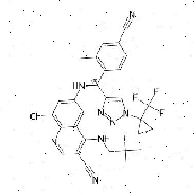 Cc1cc(C#N)ccc1[C@H](Nc1cc(Cl)c2ncc(C#N)c(NCC(C)(C)C)c2c1)c1cn(C2(C(F)(F)F)CC2)nn1